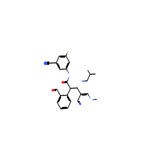 CN/C=C(\C=N)[C@@H](NCC(C)C)C(C(=O)Nc1cc(F)cc(C#N)c1)c1ccccc1C=O